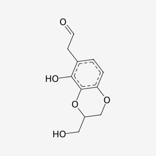 O=CCc1ccc2c(c1O)OC(CO)CO2